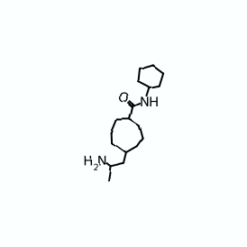 CC(N)CC1CCCC(C(=O)NC2CCCCC2)CCC1